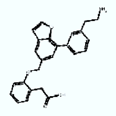 NCCc1cccc(-c2cc(COc3ccccc3CC(=O)O)cc3ccoc23)c1